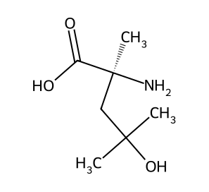 CC(C)(O)C[C@](C)(N)C(=O)O